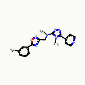 Cc1cccc(-c2nc(CN(C)c3nnc(-c4ccncc4)n3C)no2)c1